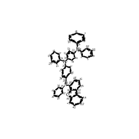 c1ccc(N(c2ccccc2)c2ccc(N(c3ccccc3)c3ccc(N(c4ccccc4)c4cccc5c4oc4ccccc45)cc3)cc2)cc1